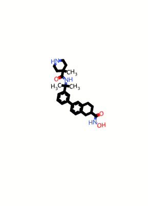 CC1(C(=O)NC(C)(C)c2cccc(-c3ccc4c(c3)CCC(C(=O)NO)C4)c2)CCNCC1